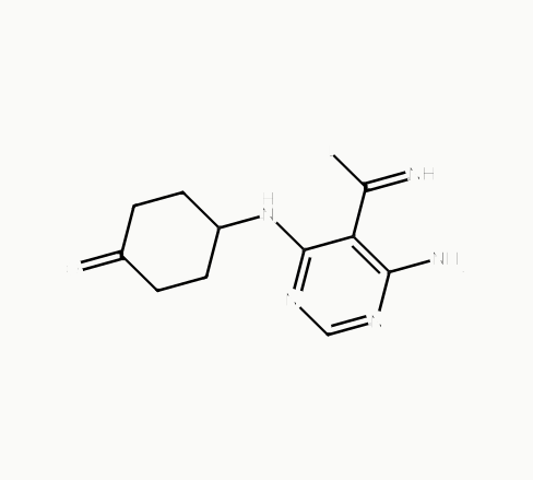 N=C(I)c1c(N)ncnc1NC1CCC(=O)CC1